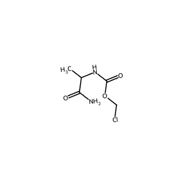 CC(NC(=O)OCCl)C(N)=O